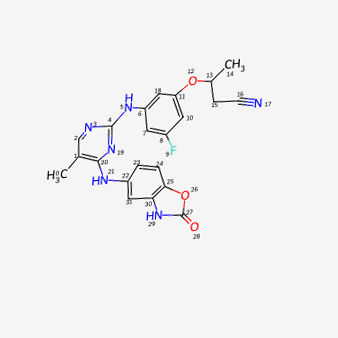 Cc1cnc(Nc2cc(F)cc(OC(C)CC#N)c2)nc1Nc1ccc2oc(=O)[nH]c2c1